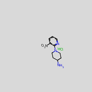 Cl.NC1CCN(c2ncccc2[N+](=O)[O-])CC1